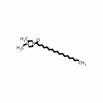 CCCCCCCCCCCCCCCCCC(=O)N1CCN(CC)C(C)C1